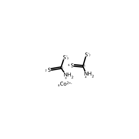 NC(=S)[S-].NC(=S)[S-].[Co+2]